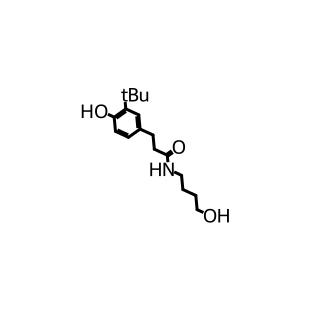 CC(C)(C)c1cc(CCC(=O)NCCCCO)ccc1O